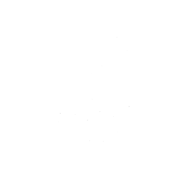 CCOC(=O)c1sc(SCc2ccccc2)c2c1CCCC2=O